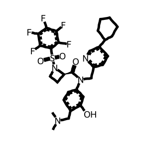 CN(C)Cc1ccc(N(Cc2ccc(C3CCCCC3)cn2)C(=O)[C@H]2CCN2S(=O)(=O)c2c(F)c(F)c(F)c(F)c2F)cc1O